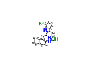 Brc1cccc2c3c([nH]c12)C(Cc1cccc2ccccc12)NCC3.Cl